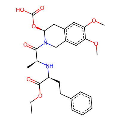 CCOC(=O)[C@H](CCc1ccccc1)N[C@@H](C)C(=O)N1Cc2cc(OC)c(OC)cc2C[C@@H]1OC(=O)O